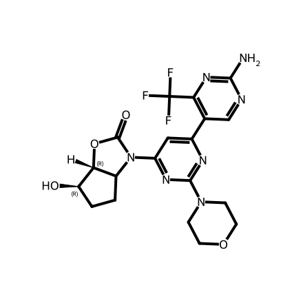 Nc1ncc(-c2cc(N3C(=O)O[C@@H]4C3CC[C@H]4O)nc(N3CCOCC3)n2)c(C(F)(F)F)n1